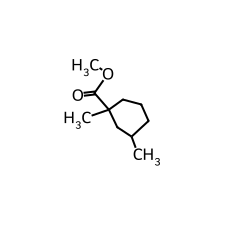 COC(=O)C1(C)CCCC(C)C1